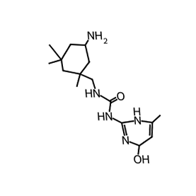 CC1=CC(O)N=C(NC(=O)NCC2(C)CC(N)CC(C)(C)C2)N1